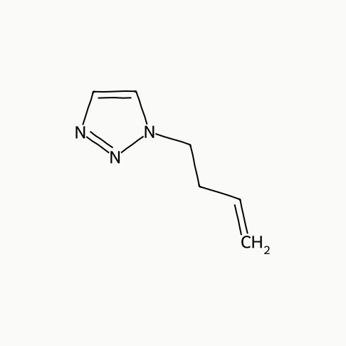 C=CCCn1ccnn1